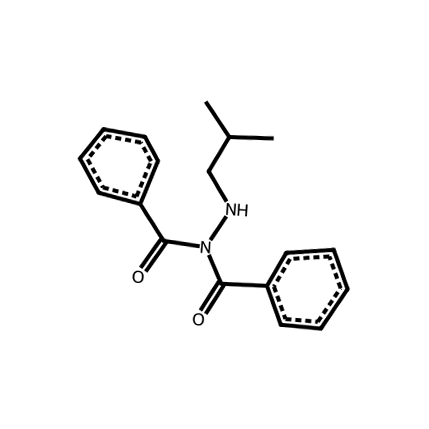 CC(C)CNN(C(=O)c1ccccc1)C(=O)c1ccccc1